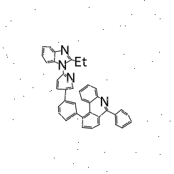 CCc1nc2ccccc2n1-c1ccc(-c2cccc(-c3cccc4c(-c5ccccc5)nc5ccccc5c34)c2)cn1